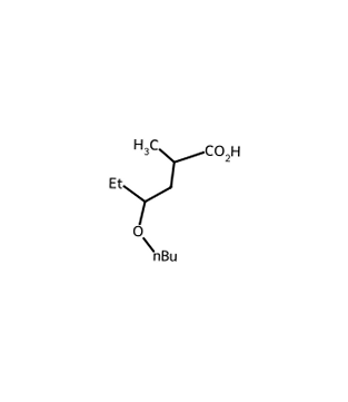 CCCCOC(CC)CC(C)C(=O)O